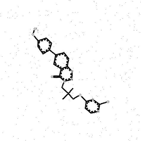 CC(C)(COc1ccnc(Cl)n1)Cn1nnc2ccc(-c3ccc(OC(F)(F)F)cc3)cc2c1=O